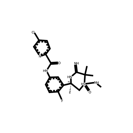 CN[SH]1(=O)C[C@@](C)(c2cc(NC(=O)c3ccc(Cl)cn3)ccc2F)NC(=N)C1(C)C